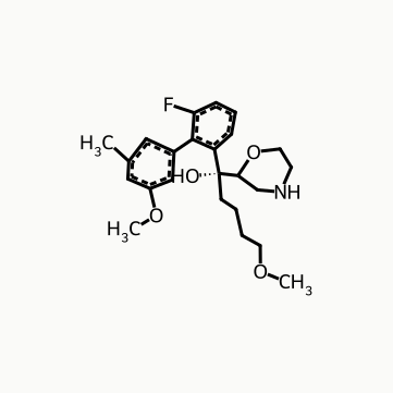 COCCCC[C@@](O)(c1cccc(F)c1-c1cc(C)cc(OC)c1)C1CNCCO1